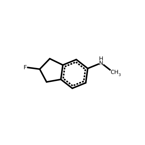 CNc1ccc2c(c1)CC(F)C2